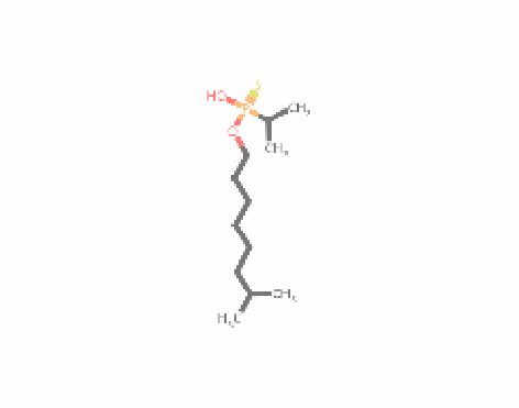 CC(C)CCCCCCOP(O)(=S)C(C)C